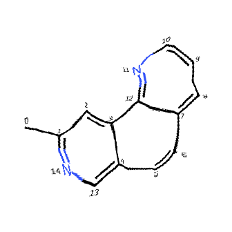 Cc1cc2c(ccc3cccnc32)cn1